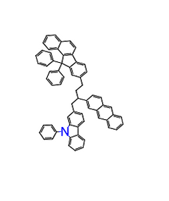 c1ccc(-n2c3ccccc3c3ccc(CC(CCc4ccc5c(c4)C(c4ccccc4)(c4ccccc4)c4c-5ccc5ccccc45)c4ccc5cc6ccccc6cc5c4)cc32)cc1